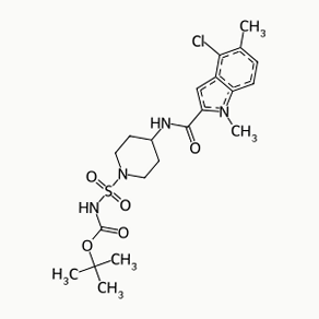 Cc1ccc2c(cc(C(=O)NC3CCN(S(=O)(=O)NC(=O)OC(C)(C)C)CC3)n2C)c1Cl